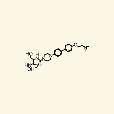 C[C@H](O)[C@@H](NC(=O)N1CCN(c2ccc(-c3ccc(OCCN(C)C)cc3)cc2)CC1)C(=O)NO